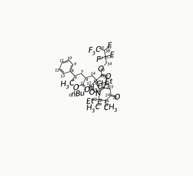 CCCCOC(=O)C(CC(C)c1ccccc1)CC(C)(CON1C(C)(CC)CC(=O)C(C)C1(C)CC)C(=O)OCC(F)(F)C(F)C(F)(F)F